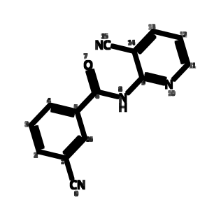 N#Cc1cccc(C(=O)Nc2ncccc2C#N)c1